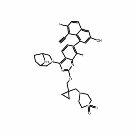 C#Cc1c(F)ccc2cc(O)cc(-c3ccc4c(N5CC6CCC(C5)N6)nc(OCC5(CN6CCS(=O)(=O)CC6)CC5)nc4c3F)c12